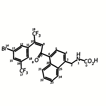 O=C(O)NCc1ccc(C(=O)C=C(c2cc(Br)cc(C(F)(F)F)c2)C(F)(F)F)c2ccccc12